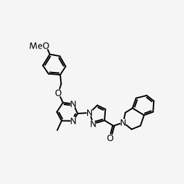 COc1ccc(COc2cc(C)nc(-n3ccc(C(=O)N4CCc5ccccc5C4)n3)n2)cc1